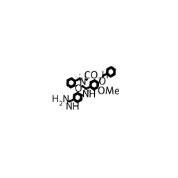 COc1cc([C@H](Nc2ccc(C(=N)N)cc2)C(=O)N(CC(=O)O)[C@@H](C)c2ccccc2)ccc1OCc1ccccc1